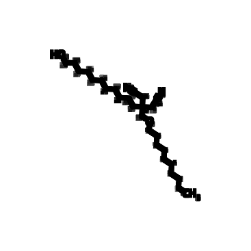 CCCCCCCCCCOCC(CC#N)(CC#N)CCCCCCCCCCCO